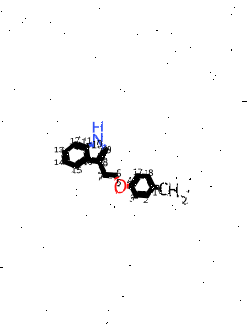 [CH2]c1ccc(OCCc2c[nH]c3ccccc23)cc1